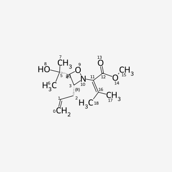 C=CC[C@@H]1[C@H](C(C)(C)O)ON1C(C(=O)OC)=C(C)C